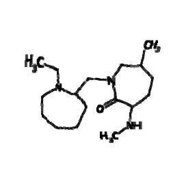 CCN1CCCCCC1CN1CC(C)CCC(NC)C1=O